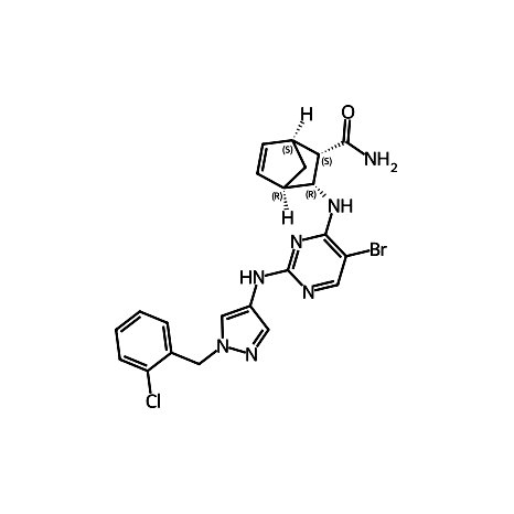 NC(=O)[C@@H]1[C@H](Nc2nc(Nc3cnn(Cc4ccccc4Cl)c3)ncc2Br)[C@H]2C=C[C@@H]1C2